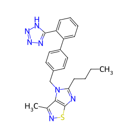 CCCCc1nc2snc(C)c2n1Cc1ccc(-c2ccccc2-c2nnn[nH]2)cc1